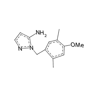 COc1cc(C)c(Cn2nccc2N)cc1C